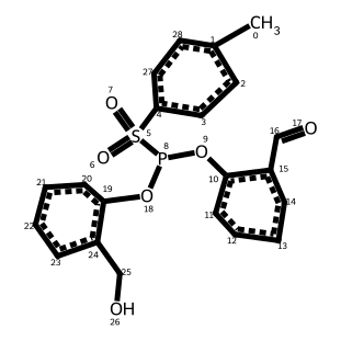 Cc1ccc(S(=O)(=O)P(Oc2ccccc2C=O)Oc2ccccc2CO)cc1